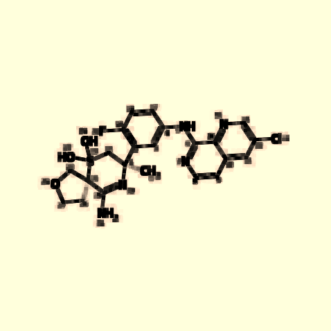 C[C@@]1(c2cc(Nc3nccc4cc(Cl)cnc34)ccc2F)CS(O)(O)[C@@]2(CCOC2)C(N)=N1